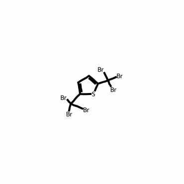 BrC(Br)(Br)c1ccc(C(Br)(Br)Br)s1